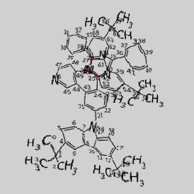 CC(C)(C)c1ccc2c(c1)c1cc(C(C)(C)C)ccc1n2-c1ccc(-c2nc(-c3ccccc3)nc(-c3ccccc3)n2)c(-c2cnccc2-n2c3ccc(C(C)(C)C)cc3c3cc(C(C)(C)C)ccc32)c1